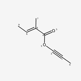 CC#COC(=O)C(C)=CC